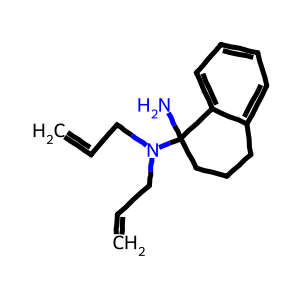 C=CCN(CC=C)C1(N)CCCc2ccccc21